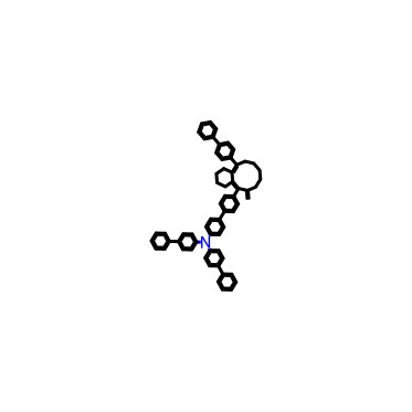 C=C1CCCCC/C(c2ccc(-c3ccccc3)cc2)=C2/CCCC/C2=C/1c1ccc(-c2ccc(N(c3ccc(-c4ccccc4)cc3)c3ccc(-c4ccccc4)cc3)cc2)cc1